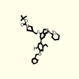 CCc1cc(OCc2ccccc2)c(F)cc1-c1cc(OCC2CN(C(=O)OC(C)(C)C)C2)c2cnn(C3CCCCO3)c2c1